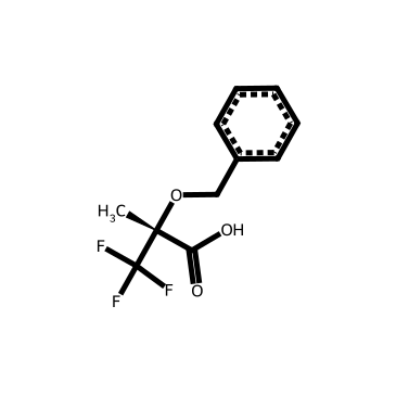 C[C@@](OCc1ccccc1)(C(=O)O)C(F)(F)F